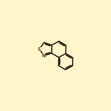 c1ccc2c(c1)ccc1csnc12